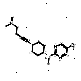 CN(C)CCC#C[C@H]1CC[C@H](N(C)c2ncc(Br)cn2)CC1